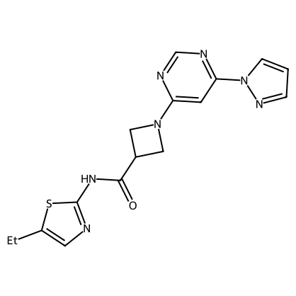 CCc1cnc(NC(=O)C2CN(c3cc(-n4cccn4)ncn3)C2)s1